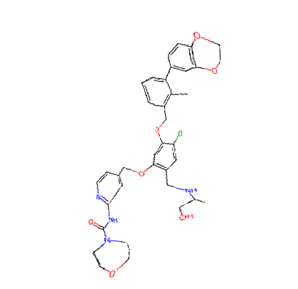 Cc1c(COc2cc(OCc3ccnc(NC(=O)N4CCOCC4)c3)c(CNC(C)CO)cc2Cl)cccc1-c1ccc2c(c1)OCCO2